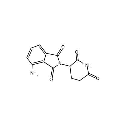 Nc1cccc2c1C(=O)N(C1CCC(=O)[15NH]C1=O)C2=O